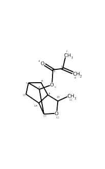 C=C(C)C(=O)OC1C2CC3C(C)OC1C3C2